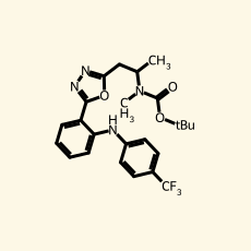 CC(Cc1nnc(-c2ccccc2Nc2ccc(C(F)(F)F)cc2)o1)N(C)C(=O)OC(C)(C)C